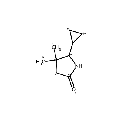 CC1(C)CC(=O)NC1C1CC1